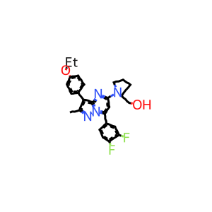 CCOc1ccc(-c2c(C)nn3c(-c4ccc(F)c(F)c4)cc(N4CCCC4CO)nc23)cc1